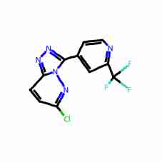 FC(F)(F)c1cc(-c2nnc3ccc(Cl)nn23)ccn1